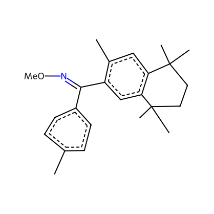 CO/N=C(\c1ccc(C)cc1)c1cc2c(cc1C)C(C)(C)CCC2(C)C